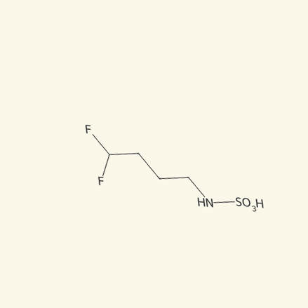 O=S(=O)(O)NCCCC(F)F